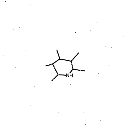 CC1NC(C)C(C)C(C)C1C